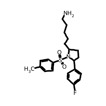 Cc1ccc(S(=O)(=O)N2C(CCCCCN)CCC2c2ccc(F)cc2)cc1